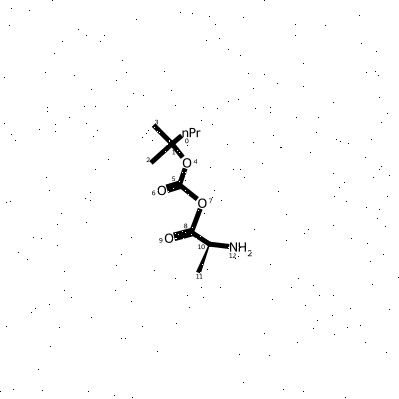 CCCC(C)(C)OC(=O)OC(=O)[C@H](C)N